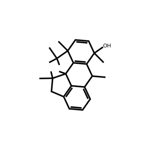 CC1C2=C(C(C)(C(C)(C)C)C=CC2(C)O)C2(C)c3c(cccc31)CC2(C)C